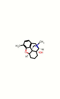 Cc1ccc2c3c1O[C@@H]1CCC[C@]4(O)[C@H](C2)N(C)CC[C@@]314